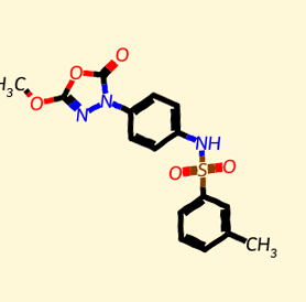 COc1nn(-c2ccc(NS(=O)(=O)c3cccc(C)c3)cc2)c(=O)o1